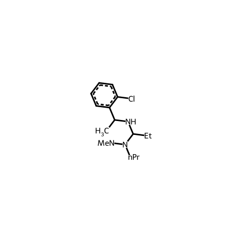 CCCN(NC)C(CC)NC(C)c1ccccc1Cl